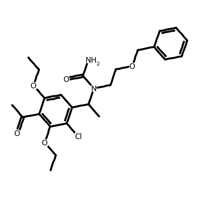 CCOc1cc(C(C)N(CCOCc2ccccc2)C(N)=O)c(Cl)c(OCC)c1C(C)=O